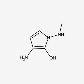 CNn1ccc(N)c1O